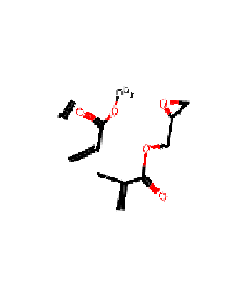 C=C.C=C(C)C(=O)OCC1CO1.C=CC(=O)OCCC